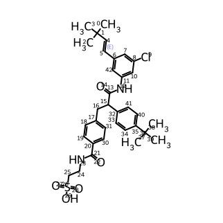 CC(C)(C)/C=C/c1cc(Cl)cc(NC(=O)C(Cc2ccc(C(=O)NCCS(=O)(=O)O)cc2)c2ccc(C(C)(C)C)cc2)c1